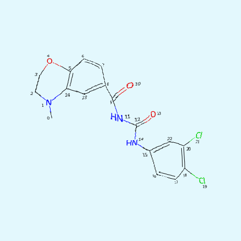 CN1CCOc2ccc(C(=O)NC(=O)Nc3ccc(Cl)c(Cl)c3)cc21